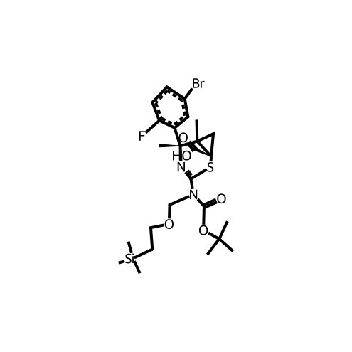 CC(C)(C)OC(=O)N(COCC[Si](C)(C)C)C1=N[C@](C)(c2cc(Br)ccc2F)C2(C)C[C@]2(C(=O)O)S1